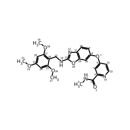 CNC(=O)c1cc(Oc2ccc3nc(NCc4c(OC)cc(OC)cc4OC)oc3c2)ccn1